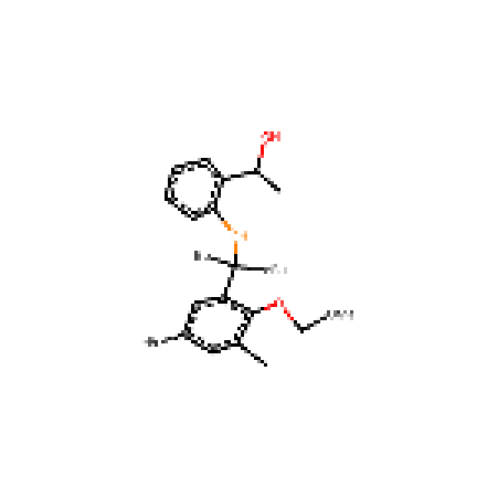 CCCCC(CC)(Pc1ccccc1C(C)O)c1cc(C(C)(C)C)cc(C)c1OCOC